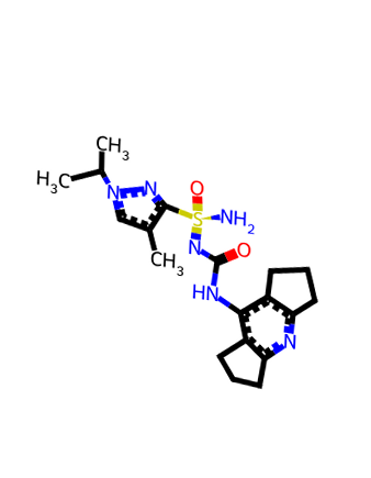 Cc1cn(C(C)C)nc1[S@](N)(=O)=NC(=O)Nc1c2c(nc3c1CCC3)CCC2